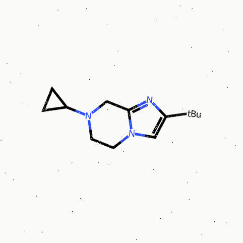 CC(C)(C)c1cn2c(n1)CN(C1CC1)CC2